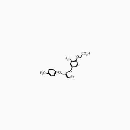 CCC=C(COc1ccc(C(F)(F)F)cc1)CSc1ccc(OCC(=O)O)c(C)c1